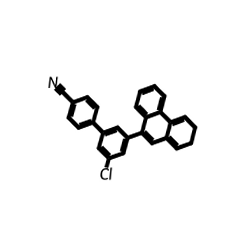 N#Cc1ccc(-c2cc(Cl)cc(-c3cc4c(c5ccccc35)=CCCC=4)c2)cc1